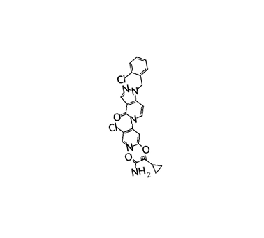 NC(=O)[C@H](Oc1cc(-n2ccc3c(cnn3Cc3ccccc3Cl)c2=O)c(Cl)cn1)C1CC1